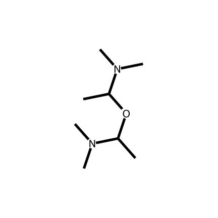 CC(OC(C)N(C)C)N(C)C